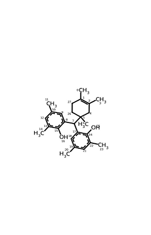 CC1=C(C)CC(C)(C(c2cc(C)cc(C)c2O)c2cc(C)cc(C)c2O)CC1